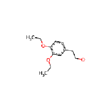 CCOc1ccc(CC[O])cc1OCC